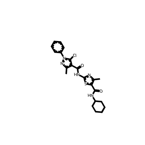 Cc1nc(NC(=O)c2c(C)nn(-c3ccccc3)c2Cl)sc1C(=O)NC1CCCCC1